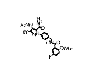 COc1ccc(F)cc1C(=O)NCc1ccc(-n2nc(C(C)C)c(NC(C)=O)c2C(N)=O)cc1